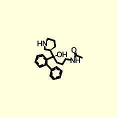 CC(=O)NCCC[C@@](O)(c1ccccc1-c1ccccc1)[C@@H]1CCCNC1